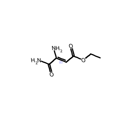 CCOC(=O)/C=C(\N)C(N)=O